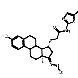 CCON=C1C[C@@H](CCC(=O)Nc2ncc(C)s2)C2C3CCc4cc(O)ccc4C3CC[C@]12C